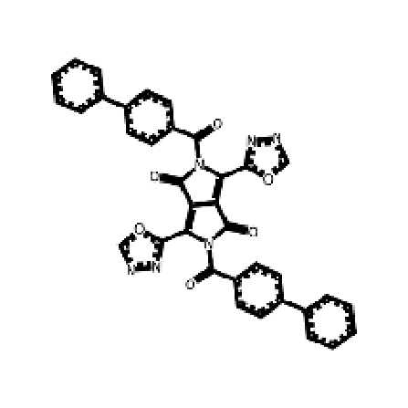 O=C1C2=C(c3nnco3)N(C(=O)c3ccc(-c4ccccc4)cc3)C(=O)C2=C(c2nnco2)N1C(=O)c1ccc(-c2ccccc2)cc1